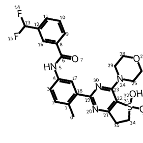 Cc1ccc(NC(=O)c2cccc(C(F)F)c2)cc1-c1nc2c(c(N3CCOCC3)n1)S(O)(O)CC2